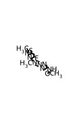 CC(=O)Nc1cnc(N2CCN(C(C)c3nc4nc(C)sc4cc3F)CC2)nc1